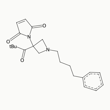 CC(C)(C)C(=O)C1(N2C(=O)C=CC2=O)CN(CCCCc2ccccc2)C1